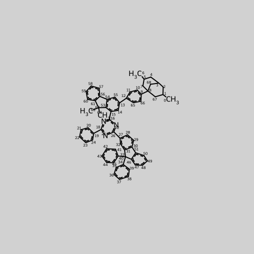 CC1CC2CC(C)CC(c3ccc(-c4cc(-c5nc(-c6ccccc6)nc(-c6ccc7c(c6)C(c6ccccc6)(c6ccccc6)c6ccccc6-7)n5)c5c(c4)-c4ccccc4C5(C)C)cc3)(C1)C2